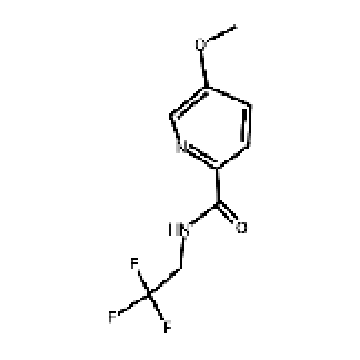 COc1ccc(C(=O)NCC(F)(F)F)nc1